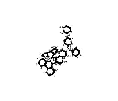 c1ccc(-c2ccc(N(c3ccccc3)c3ccc4c5c(ccc4c3)-c3c(c4ccccc4c4ccccc34)C53c4ccccc4-c4ccccc43)cc2)cc1